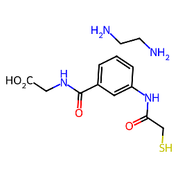 NCCN.O=C(O)CNC(=O)c1cccc(NC(=O)CS)c1